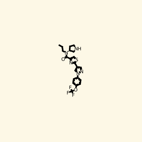 CCCN(C(=O)c1csc(-c2cnn(-c3ccc(OC(F)(F)F)cc3)c2)n1)[C@@H]1CCNC1